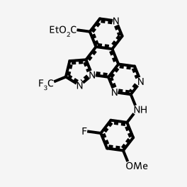 CCOC(=O)c1cncc2c3cnc(Nc4cc(F)cc(OC)c4)nc3n3nc(C(F)(F)F)cc3c12